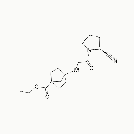 CCOC(=O)C12CCC(NCC(=O)N3CCC[C@H]3C#N)(CC1)C2